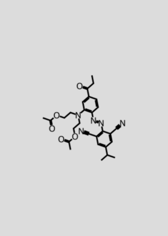 CCC(=O)c1ccc(N=Nc2c(C#N)cc(C(C)C)cc2C#N)c(N(CCOC(C)=O)CCOC(C)=O)c1